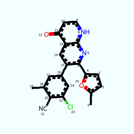 Cc1ccc(-c2nc3[nH]ccc(=O)c3cc2-c2cc(C)c(C#N)c(Cl)c2)o1